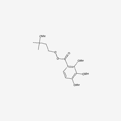 COc1ccc(C(=O)OO[CH]CC(C)(C)OC)c(OC)c1OC